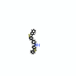 c1ccc2cc3c(cc2c1)sc1ccc(-c2ccc(Nc4ccc5c(c4)sc4ccccc45)cc2)cc13